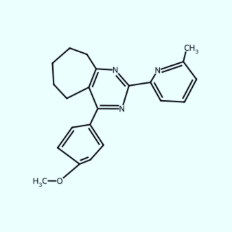 COc1ccc(-c2nc(-c3cccc(C)n3)nc3c2CCCCC3)cc1